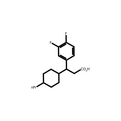 CCCC1CCC(C(CC(=O)O)c2ccc(F)c(F)c2)CC1